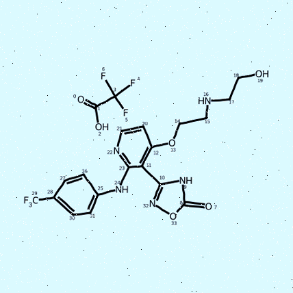 O=C(O)C(F)(F)F.O=c1[nH]c(-c2c(OCCNCCO)ccnc2Nc2ccc(C(F)(F)F)cc2)no1